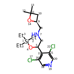 CC[Si](CC)(CC)OC(CNC[C@@H]1CC(C)(C)O1)c1c(Cl)cncc1Cl